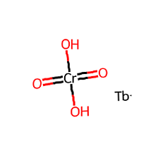 [O]=[Cr](=[O])([OH])[OH].[Tb]